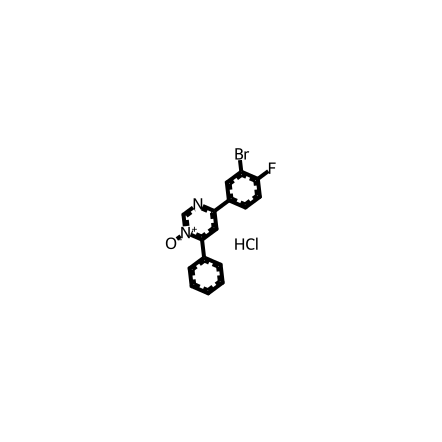 Cl.[O-][n+]1cnc(-c2ccc(F)c(Br)c2)cc1-c1ccccc1